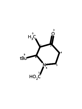 CC1C(=O)CCN(C(=O)O)C1C(C)(C)C